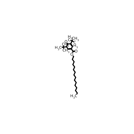 CCCCCCCCCCCCCCCCOC(=O)C1=CC(C(C)(C)C)C(=O)C(C(C)(C)C)=C1